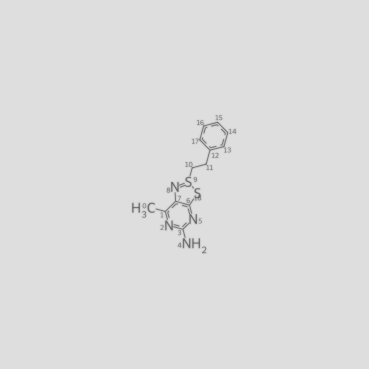 Cc1nc(N)nc2c1N=S(CCc1ccccc1)S2